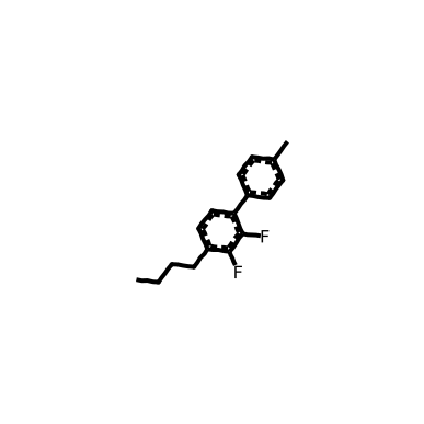 CCCCc1ccc(-c2ccc(C)cc2)c(F)c1F